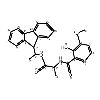 COc1ccnc(C(=O)N[C@@H](C)C(=O)OC(C)C2c3ccccc3-c3ccccc32)c1O